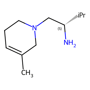 CC1=CCCN(C[C@@H](N)C(C)C)C1